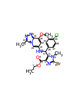 CCOC(=O)c1nc(Br)n(C)c1C(Nc1cc(OC)c2nnc(C)n2c1)c1ccc(Cl)cc1